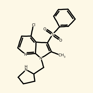 Cc1c(S(=O)(=O)c2ccccc2)c2c(Cl)ccnc2n1CC1CCCN1